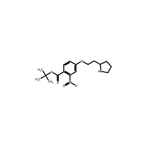 CC(C)(C)OC(=O)c1ccc(OCCC2CCCN2)cc1[N+](=O)[O-]